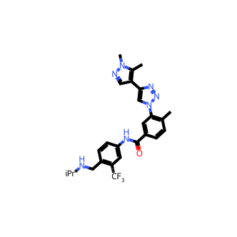 Cc1ccc(C(=O)Nc2ccc(CNC(C)C)c(C(F)(F)F)c2)cc1-n1cc(-c2cnn(C)c2C)nn1